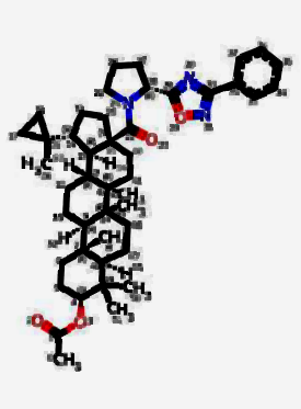 CC(=O)O[C@H]1CC[C@]2(C)[C@H]3CC[C@@H]4[C@H]5[C@H](C6(C)CC6)CC[C@]5(C(=O)N5CCC[C@@H]5c5nc(-c6ccccc6)no5)CC[C@@]4(C)[C@]3(C)CC[C@H]2C1(C)C